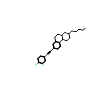 CCCCCC1CCC2c3ccc(C#Cc4ccc(Cl)c(F)c4)cc3CCC2C1